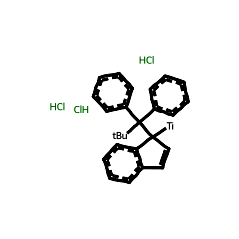 CC(C)(C)C(c1ccccc1)(c1ccccc1)[C]1([Ti])C=Cc2ccccc21.Cl.Cl.Cl